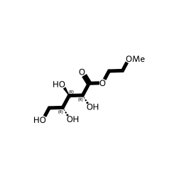 COCCOC(=O)[C@H](O)[C@H](O)[C@H](O)CO